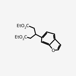 CCOC(=O)CC(CC(=O)OCC)c1ccc2ccoc2c1